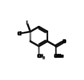 COC(=O)C1=C(C)CC(Cl)(I)C=C1